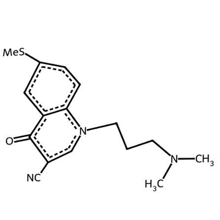 CSc1ccc2c(c1)c(=O)c(C#N)cn2CCCN(C)C